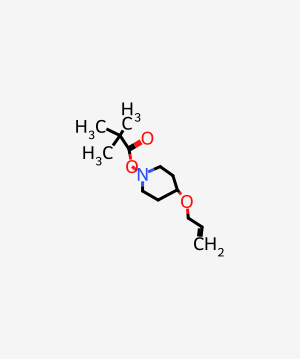 C=CCOC1CCN(OC(=O)C(C)(C)C)CC1